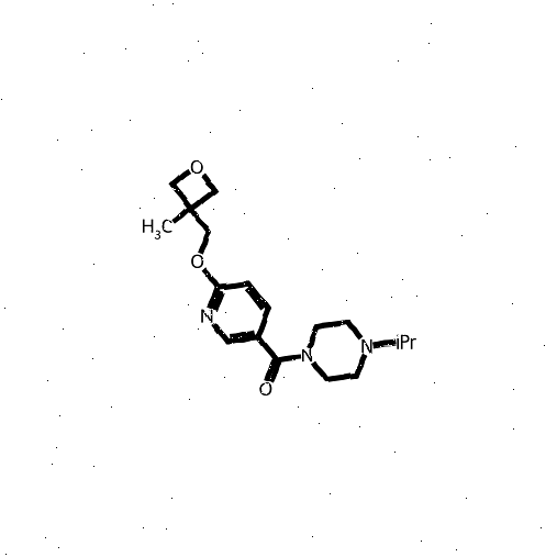 CC(C)N1CCN(C(=O)c2ccc(OCC3(C)COC3)nc2)CC1